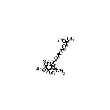 CC(=O)OC[C@H]1O[C@@H](OCCOCCOCCOC[C@@H](O)CO)[C@H](CC(N)=O)[C@@H](OC(C)=O)[C@H]1OC(C)=O